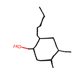 CCCC1CC(C)C(C)CC1O